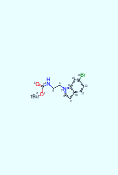 CC(C)(C)OC(=O)NCCn1ccc2ccc(Br)cc21